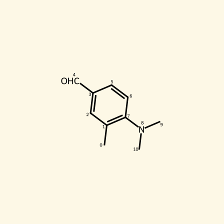 Cc1cc(C=O)ccc1N(C)C